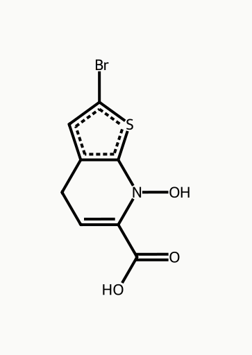 O=C(O)C1=CCc2cc(Br)sc2N1O